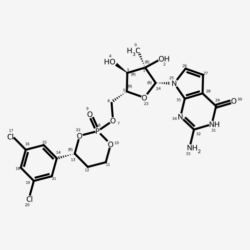 C[C@@]1(O)[C@H](O)[C@@H](COP2(=O)OCC[C@H](c3cc(Cl)cc(Cl)c3)O2)O[C@H]1n1ccc2c(=O)[nH]c(N)nc21